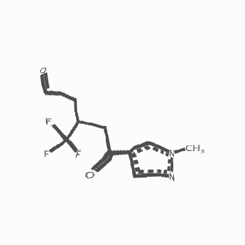 Cn1cc(C(=O)CC(CC=O)C(F)(F)F)cn1